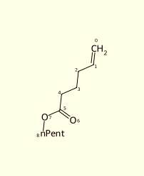 C=CCCCC(=O)OCCCCC